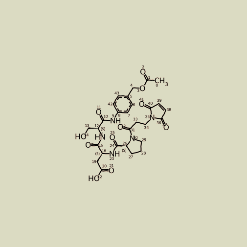 CC(=O)OCc1ccc(NC(=O)[C@H](CO)NC(=O)[C@H](CC(=O)O)NC(=O)[C@@H]2CCCN2C(=O)CCN2C(=O)C=CC2=O)cc1